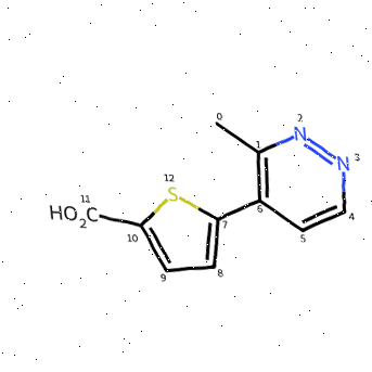 Cc1nnccc1-c1ccc(C(=O)O)s1